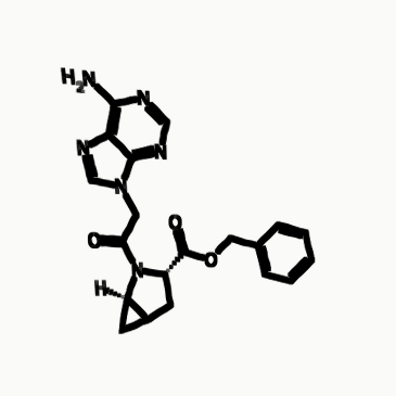 Nc1ncnc2c1ncn2CC(=O)N1[C@@H]2CC2C[C@H]1C(=O)OCc1ccccc1